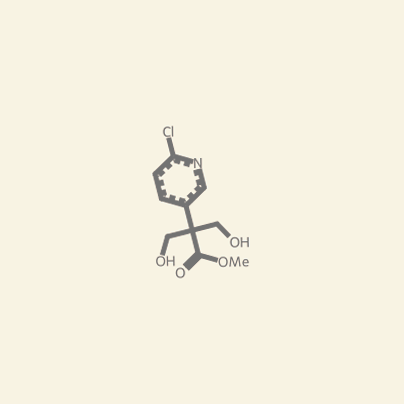 COC(=O)C(CO)(CO)c1ccc(Cl)nc1